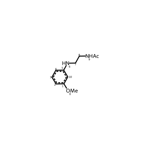 COc1cccc(NCCNC(C)=O)c1